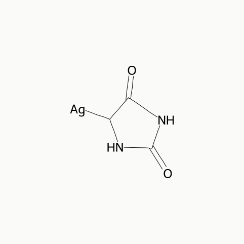 O=C1NC(=O)[CH]([Ag])N1